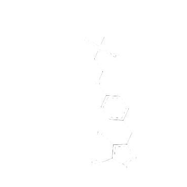 CCCc1noc(Cc2ccc(OCCS(C)(=N)=O)cc2)c1C(C)=O